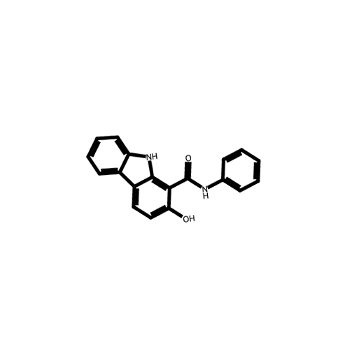 O=C(Nc1ccccc1)c1c(O)ccc2c1[nH]c1ccccc12